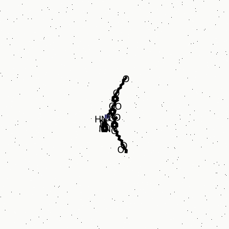 C=CC(=O)OCCCCCCOc1ccc(C(=O)Oc2ccc(OC(=O)c3ccc(OCCCCCCOC)cc3)cc2/C=N/Nc2nc3nccnc3s2)cc1